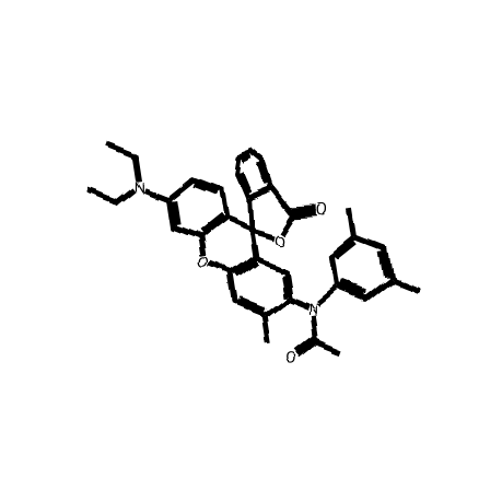 CCN(CC)c1ccc2c(c1)Oc1cc(C)c(N(C(C)=O)c3cc(C)cc(C)c3)cc1C21OC(=O)c2ccccc21